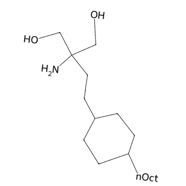 CCCCCCCCC1CCC(CCC(N)(CO)CO)CC1